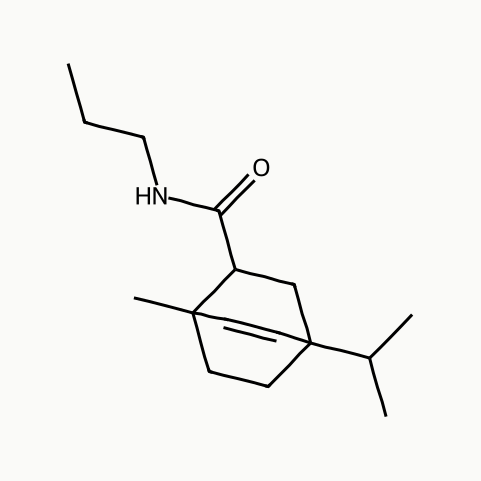 CCCNC(=O)C1CC2(C(C)C)C=CC1(C)CC2